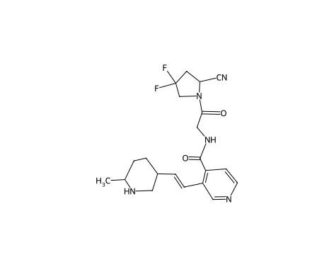 CC1CCC(C=Cc2cnccc2C(=O)NCC(=O)N2CC(F)(F)CC2C#N)CN1